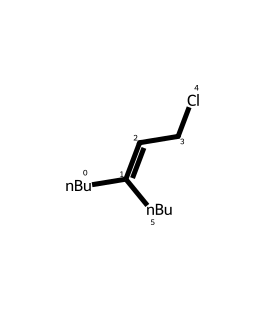 CCCCC(=CCCl)CCCC